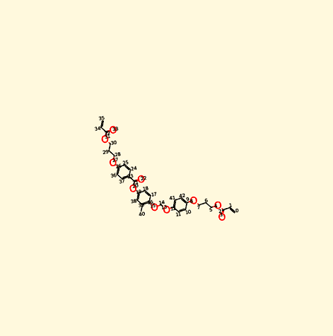 C=CC(=O)OCCCOc1ccc(OCOc2ccc(OC(=O)c3ccc(OCCCOC(=O)C=C)cc3)cc2C)cc1